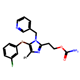 CC(C)c1nc(CCOC(N)=O)n(Cc2cccnc2)c1Sc1cccc(F)c1